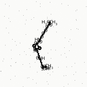 CC(S)OP(O)(=S)OCCCCCCNC(=O)CCCCCn1nnc2c1-c1ccccc1CN(C(=O)CCC(=O)NCCOCCOCCOCCOCCC(=O)C(C)C)c1ccccc1-2